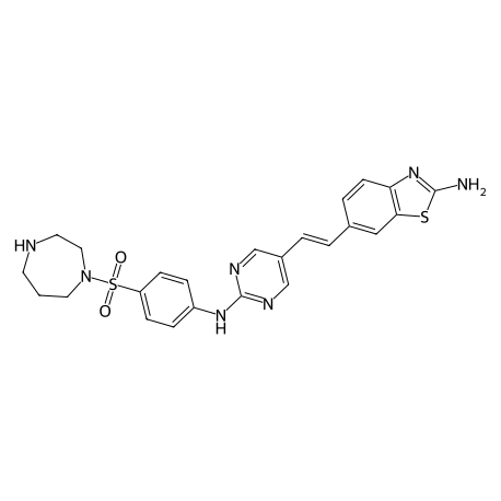 Nc1nc2ccc(/C=C/c3cnc(Nc4ccc(S(=O)(=O)N5CCCNCC5)cc4)nc3)cc2s1